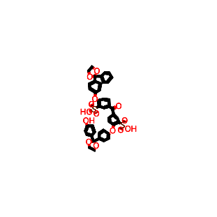 O=C(c1ccc(Oc2ccc(C3(c4ccccc4)OCCO3)cc2)c(S(=O)(=O)O)c1)c1ccc(Oc2ccc(C3(c4ccc(O)cc4)OCCO3)cc2)c(S(=O)(=O)O)c1